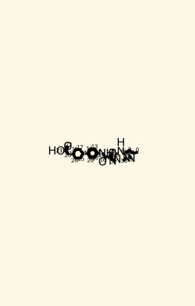 Cc1cc(Nc2nnc(C(=O)Nc3ccc([C@H]4CC[C@H](CC(=O)O)CC4)cc3)o2)n(C)n1